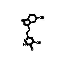 O=c1[nH]nc(CCc2c[nH]c3c2CC(O)C=C3)cc1O